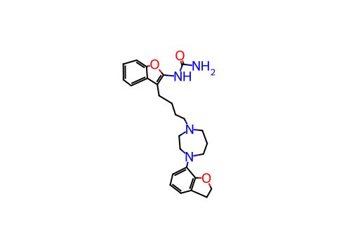 NC(=O)Nc1oc2ccccc2c1CCCCN1CCCN(c2cccc3c2OCC3)CC1